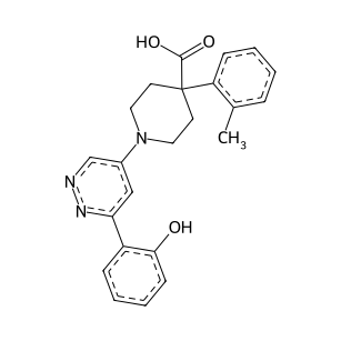 Cc1ccccc1C1(C(=O)O)CCN(c2cnnc(-c3ccccc3O)c2)CC1